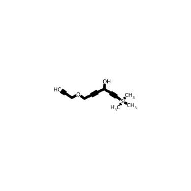 C#CCOCC#CC(O)C#C[Si](C)(C)C